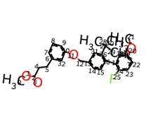 COC(=O)CCc1cccc(OCc2ccc(-c3cc(OC)ccc3F)c(C(C)(C)C)c2)c1